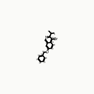 CC(C)c1ncc2cc(OCc3ccccc3)ccc2c1Br